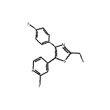 CCc1nc(-c2ccc(F)cc2)c(-c2ccnc(F)c2)s1